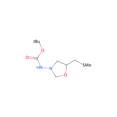 CSCC1CN(NC(=O)OC(C)(C)C)CO1